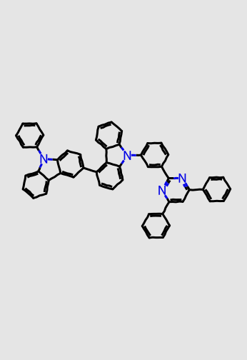 c1ccc(-c2cc(-c3ccccc3)nc(-c3cccc(-n4c5ccccc5c5c(-c6ccc7c(c6)c6ccccc6n7-c6ccccc6)cccc54)c3)n2)cc1